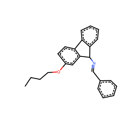 CCCCOc1ccc2c(c1)C(N=Cc1ccccc1)c1ccccc1-2